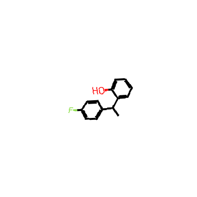 C[C](c1ccc(F)cc1)c1ccccc1O